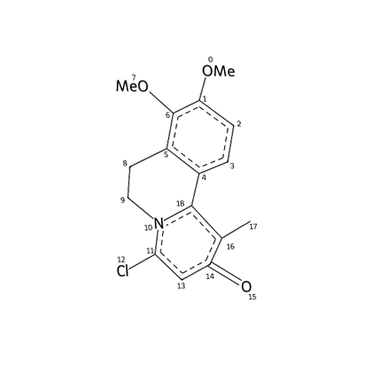 COc1ccc2c(c1OC)CCn1c(Cl)cc(=O)c(C)c1-2